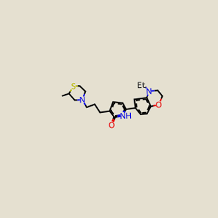 CCN1CCOc2ccc(-c3ccc(CCCN4CCSC(C)C4)c(=O)[nH]3)cc21